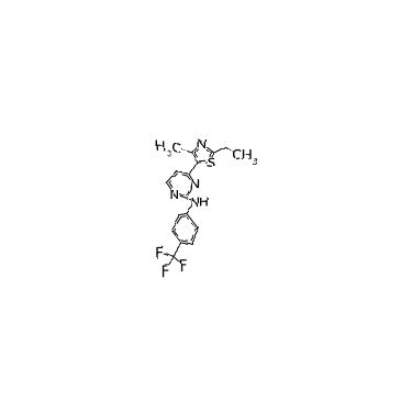 CCc1nc(C)c(-c2ccnc(Nc3ccc(C(F)(F)F)cc3)n2)s1